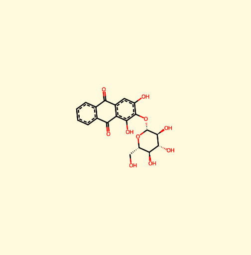 O=C1c2ccccc2C(=O)c2c1cc(O)c(O[C@H]1O[C@@H](CO)[C@H](O)[C@@H](O)[C@@H]1O)c2O